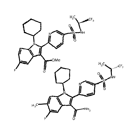 COC(=O)c1c(-c2ccc(S(=O)(=O)N[C@@H](C)C(F)(F)F)cn2)n(C2CCCCC2)c2ccc(F)cc12.Cc1cc2c(cc1F)c(C(N)=O)c(-c1ccc(S(=O)(=O)N[C@H](C)C(F)(F)F)cn1)n2C1CCCCC1